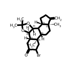 C=C1CC[C@H]2C3[C@H]4OC(C)(C)O[C@@H]4[C@H]4CC(=O)C(Br)C[C@]4(C)[C@H]3CC[C@]12C